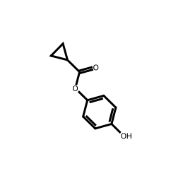 O=C(Oc1ccc(O)cc1)C1CC1